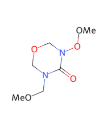 COCN1COCN(OOC)C1=O